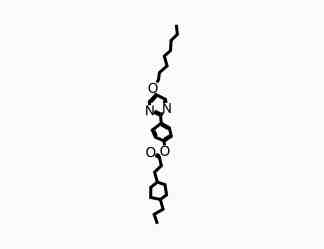 CCCCCCCCOc1cnc(-c2ccc(OC(=O)CCC3CCC(CCC)CC3)cc2)nc1